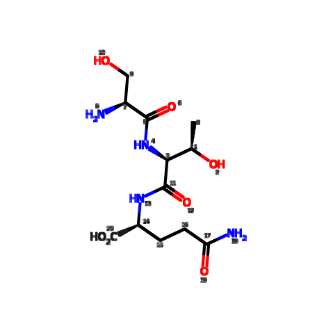 C[C@@H](O)[C@H](NC(=O)[C@@H](N)CO)C(=O)N[C@@H](CCC(N)=O)C(=O)O